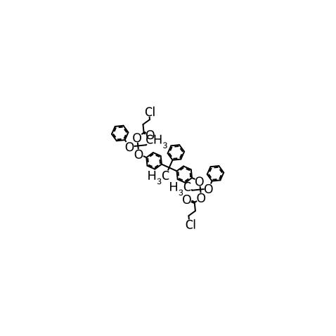 CCC(OC(=O)CCCl)(Oc1ccccc1)Oc1ccc(C(C)(c2ccccc2)c2ccc(OC(CC)(OC(=O)CCCl)Oc3ccccc3)cc2)cc1